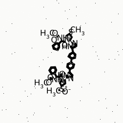 COC(=O)N[C@H](C(=O)N1C[C@@H](SC)C[C@H]1c1ncc(-c2ccc(-c3ccc(-c4cnc([C@@H]5C[C@H]([S+](C)[O-])CN5C(=O)[C@@H](NC(=O)OC)c5ccccc5)[nH]4)cc3)cc2)[nH]1)c1ccccc1